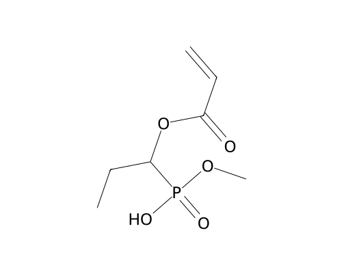 C=CC(=O)OC(CC)P(=O)(O)OC